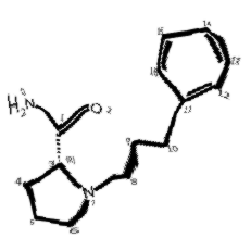 NC(=O)[C@H]1CCCN1C[CH]Cc1ccccc1